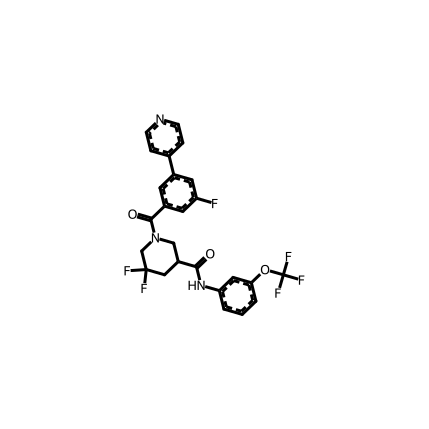 O=C(Nc1cccc(OC(F)(F)F)c1)C1CN(C(=O)c2cc(F)cc(-c3ccncc3)c2)CC(F)(F)C1